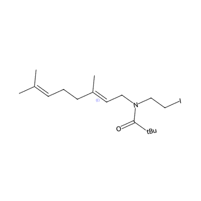 CC(C)=CCC/C(C)=C/CN(CCI)C(=O)C(C)(C)C